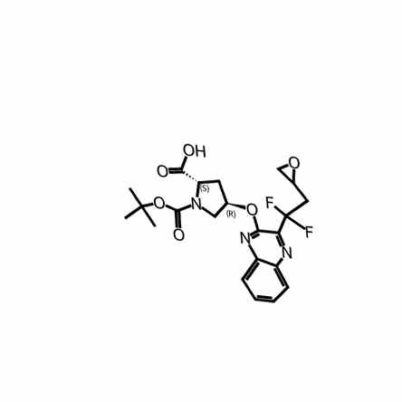 CC(C)(C)OC(=O)N1C[C@H](Oc2nc3ccccc3nc2C(F)(F)CC2CO2)C[C@H]1C(=O)O